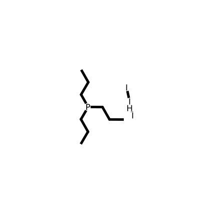 CCCP(CCC)CCC.I[IH]I